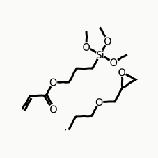 C=CC(=O)OCCC[Si](OC)(OC)OC.[CH2]CCOCC1CO1